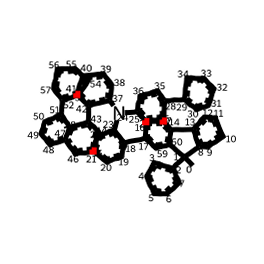 CC1(c2ccccc2)c2ccccc2-c2ccc(-c3ccccc3N(c3ccc(-c4ccccc4)cc3)c3ccccc3-c3cccc4cccc(-c5ccccc5)c34)cc21